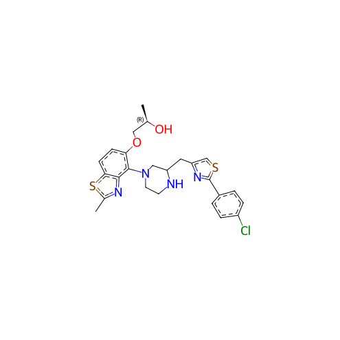 Cc1nc2c(N3CCNC(Cc4csc(-c5ccc(Cl)cc5)n4)C3)c(OC[C@@H](C)O)ccc2s1